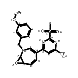 CCCOc1cccc(CN2C=C(c3cc(C(F)(F)F)nc(S(C)(=O)=O)n3)C=CC3OC32)c1